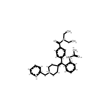 CCN(CC)C(=O)c1ccc(C(=C2CCN(Cc3ccccn3)CC2)c2ccccc2NC(C)=O)cc1